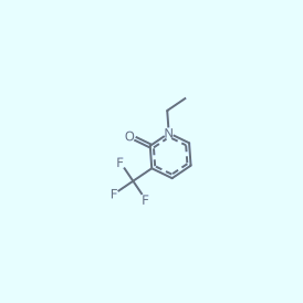 CCn1cccc(C(F)(F)F)c1=O